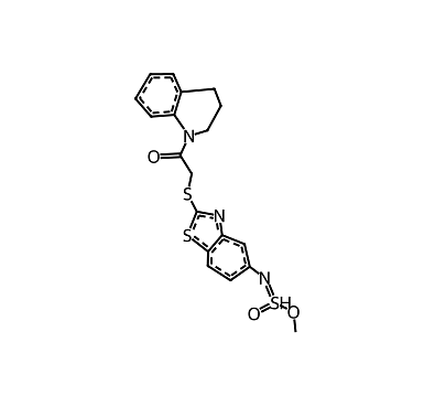 CO[SH](=O)=Nc1ccc2sc(SCC(=O)N3CCCc4ccccc43)nc2c1